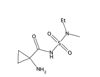 CCN(C)S(=O)(=O)NC(=O)C1(N)CC1